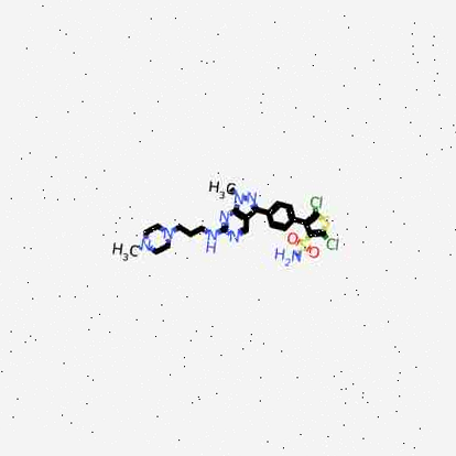 CN1CCN(CCCNc2ncc3c(-c4ccc(-c5c(Cl)sc(Cl)c5S(N)(=O)=O)cc4)nn(C)c3n2)CC1